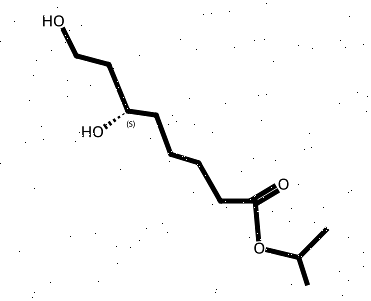 CC(C)OC(=O)CCCC[C@H](O)CCO